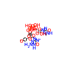 COc1ccc(C2OC3[C@@H](O2)[C@@H](COP(=O)(O)OP(=O)(O)OP(=O)(O)OC[C@H]2O[C@@H](n4cnc5c(=O)[nH]c(C)nc54)[C@@H](O)C2OC)O[C@H]3n2c[n+](C)c3c(=O)[nH]c(N)nc32)cc1